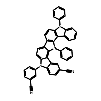 N#Cc1cccc(-n2c3ccc(C#N)cc3c3c2ccc2c4ccc5c(c6ccccc6n5-c5ccccc5)c4n(-c4ccccc4)c23)c1